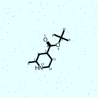 CC1CC(C(=O)OC(C)(C)C)CCN1